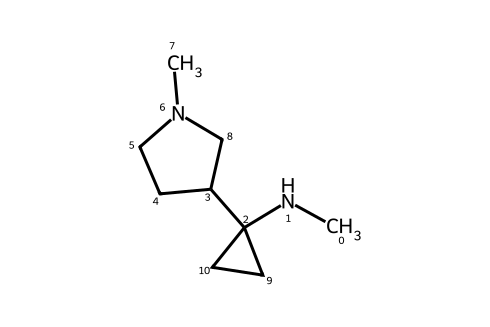 CNC1(C2CCN(C)C2)CC1